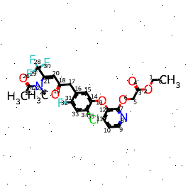 CCOC(=O)COc1ncccc1Oc1cc(CC(=O)/C=C(\N(C)C(C)=O)C(F)(F)F)c(F)cc1Cl